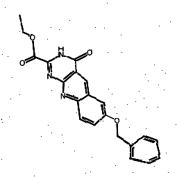 CCOC(=O)c1nc2nc3ccc(OCc4ccccc4)cc3cc2c(=O)[nH]1